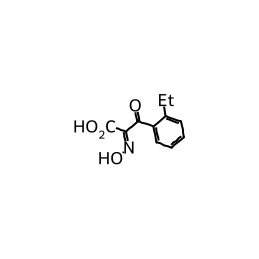 CCc1ccccc1C(=O)C(=NO)C(=O)O